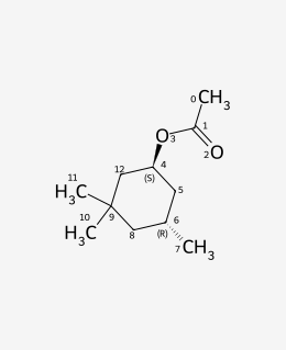 CC(=O)O[C@H]1C[C@H](C)CC(C)(C)C1